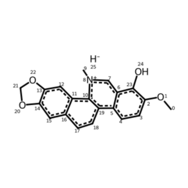 COc1ccc2c(c[n+](C)c3c4cc5c(cc4ccc23)OCO5)c1O.[H-]